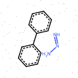 N=NN.c1ccc(-c2ccccc2)cc1